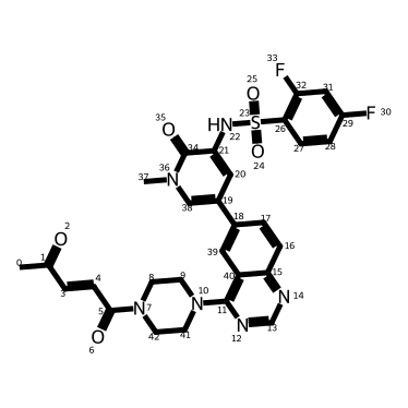 CC(=O)/C=C/C(=O)N1CCN(c2ncnc3ccc(-c4cc(NS(=O)(=O)c5ccc(F)cc5F)c(=O)n(C)c4)cc23)CC1